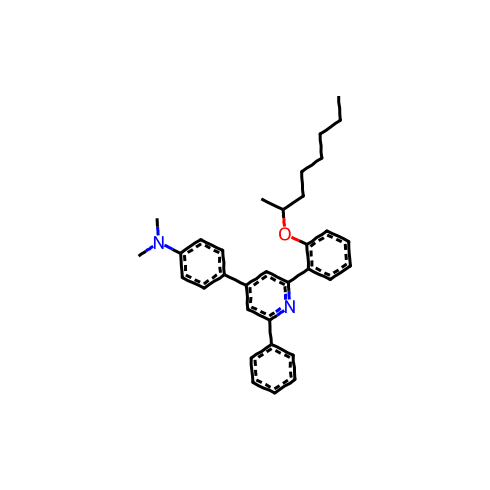 CCCCCCC(C)Oc1ccccc1-c1cc(-c2ccc(N(C)C)cc2)cc(-c2ccccc2)n1